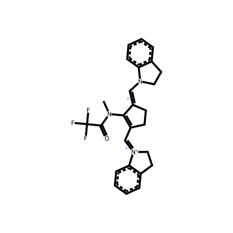 CN(C(=O)C(F)(F)F)C1=C(/C=[N+]2\CCc3ccccc32)CC/C1=C\N1CCc2ccccc21